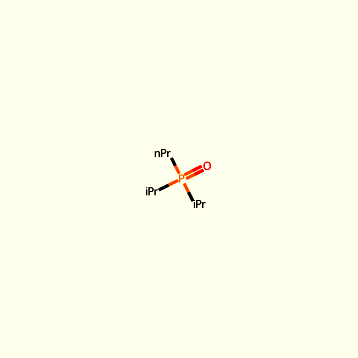 [CH2]CCP(=O)(C(C)C)C(C)C